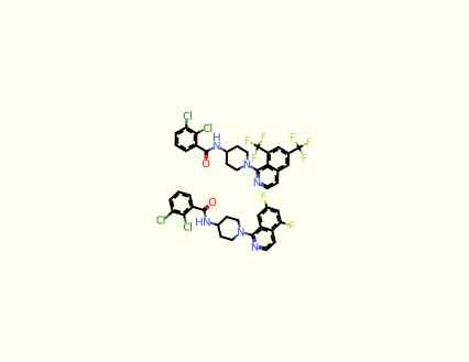 O=C(NC1CCN(c2nccc3c(F)cc(F)cc23)CC1)c1cccc(Cl)c1Cl.O=C(NC1CCN(c2nccc3cc(C(F)(F)F)cc(C(F)(F)F)c23)CC1)c1cccc(Cl)c1Cl